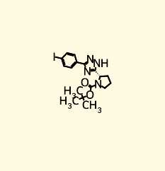 CC(C)(C)OC(=O)N1CCC[C@H]1c1nc(-c2ccc(I)cc2)n[nH]1